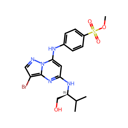 COS(=O)(=O)c1ccc(Nc2cc(N[C@H](CO)C(C)C)nc3c(Br)cnn23)cc1